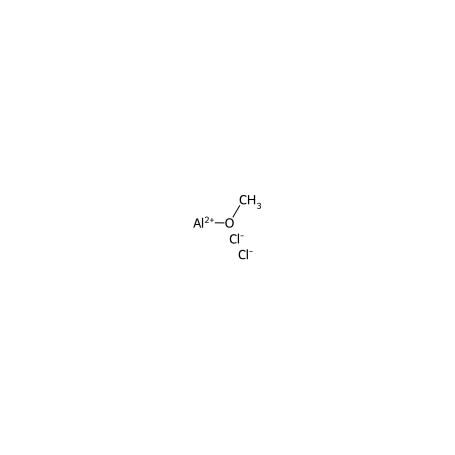 C[O][Al+2].[Cl-].[Cl-]